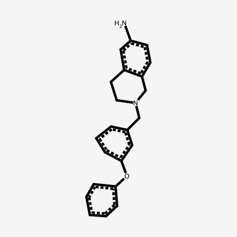 Nc1ccc2c(c1)CCN(Cc1cccc(Oc3ccccc3)c1)C2